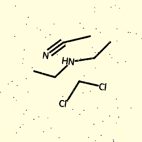 CC#N.CCNCC.ClCCl